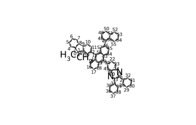 CC1(C)c2ccccc2-c2ccc(-c3c4ccccc4c(-c4ccc5nc(-c6ccccc6)c(-c6ccccc6)nc5c4)c4ccc(-c5cccc6ccccc56)cc34)cc21